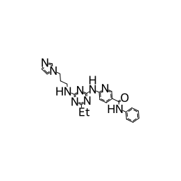 CCc1nc(NCCCn2ccnc2)nc(Nc2ccc(C(=O)Nc3ccccc3)cn2)n1